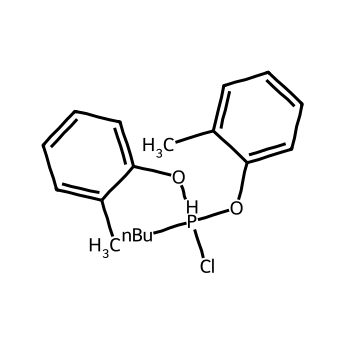 CCCC[PH](Cl)(Oc1ccccc1C)Oc1ccccc1C